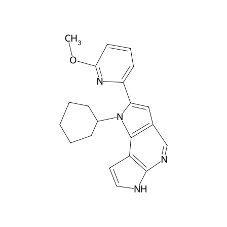 COc1cccc(-c2cc3cnc4[nH]ccc4c3n2C2CCCCC2)n1